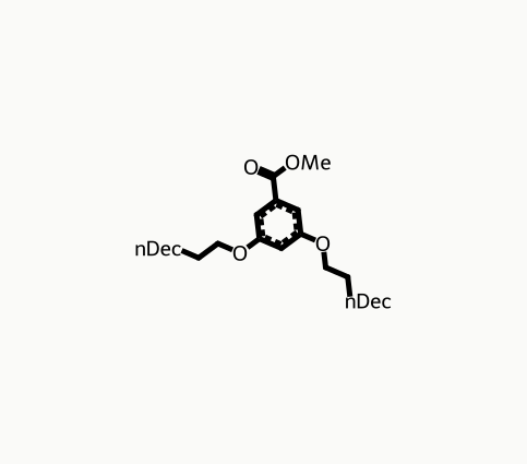 CCCCCCCCCCCCOc1cc(OCCCCCCCCCCCC)cc(C(=O)OC)c1